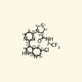 O=C(NCC(F)(F)F)[C@@H]1CSCN1c1ccnc(-c2c[nH]c3ncc(Cl)cc23)n1